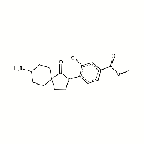 COC(=O)c1ccc(N2CCC3(CCC(N)CC3)C2=O)c(Cl)c1